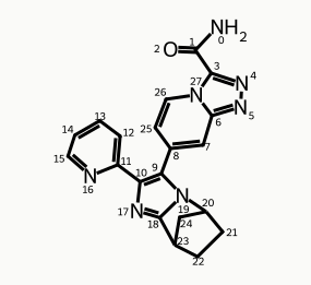 NC(=O)c1nnc2cc(-c3c(-c4ccccn4)nc4n3C3CCC4C3)ccn12